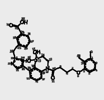 Cc1cccc(OCCCC(=O)N2CCS(O)(O)c3c(-c4cnn(Cc5cccc(C(=O)O)c5)c4)cccc32)c1C